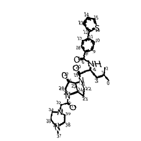 CC(C)CC(NC(=O)c1ccc(-c2cccs2)cc1)C(=O)N1CCC2C1C(=O)CN2C(=O)CN1CCN(C)CC1